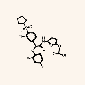 O=C(O)Oc1csc(NC(=O)C(Oc2ccc(F)cc2F)c2ccc(S(=O)(=O)C3CCCC3)c(Cl)c2)n1